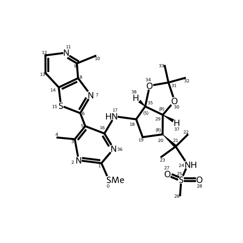 CSc1nc(C)c(-c2nc3c(C)nccc3s2)c(NC2C[C@H](C(C)(C)NS(C)(=O)=O)[C@H]3OC(C)(C)O[C@@H]23)n1